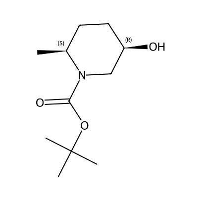 C[C@H]1CC[C@@H](O)CN1C(=O)OC(C)(C)C